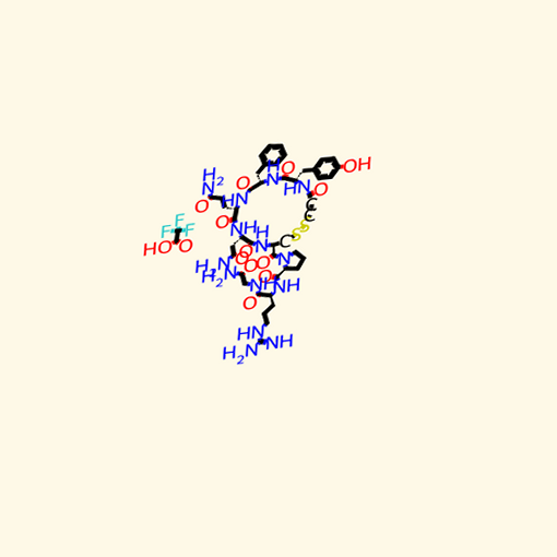 N=C(N)NCCC[C@H](NC(=O)[C@@H]1CCCN1C(=O)[C@@H]1CSSCCC(=O)N[C@@H](Cc2ccc(O)cc2)C(=O)N[C@@H](Cc2ccccc2)C(=O)N[C@@H](CCC(N)=O)C(=O)N[C@@H](CC(N)=O)C(=O)N1)C(=O)NCC(N)=O.O=C(O)C(F)(F)F